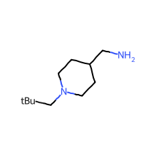 CC(C)(C)CN1CCC(CN)CC1